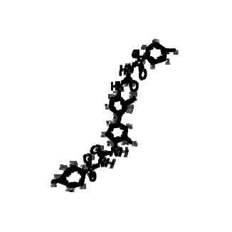 Cc1ccc(S(=O)(=O)NC(=O)Nc2ccc(-c3ccc(NC(=O)NS(=O)(=O)c4ccc(C)cc4)c(C)c3)cc2C)cc1